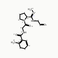 C/[O+]=C(/NCC=O)[C@@H]1CCCN1C(=O)CNC(=O)C1=C(C)CCC=C1